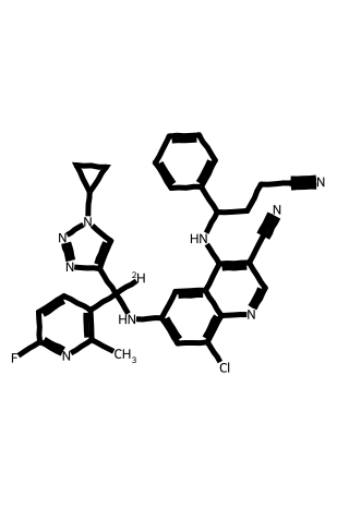 [2H]C(Nc1cc(Cl)c2ncc(C#N)c(NC(CCC#N)c3ccccc3)c2c1)(c1cn(C2CC2)nn1)c1ccc(F)nc1C